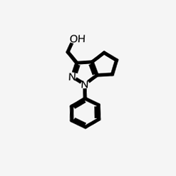 OCc1nn(-c2ccccc2)c2c1CCC2